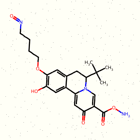 CC(C)(C)C1Cc2cc(OCCCCN=O)c(O)cc2-c2cc(=O)c(C(=O)ON)cn21